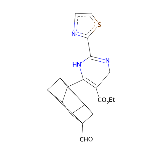 CCOC(=O)C1=C(C23C4C5C2C2C3C4C52C=O)NC(c2nccs2)=NC1